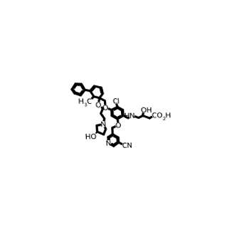 CC1C(c2ccccc2)=CC=CC1(COc1cc(OCc2cncc(C#N)c2)c(CNCC(O)CC(=O)O)cc1Cl)OCCCN1CC[C@@H](O)C1